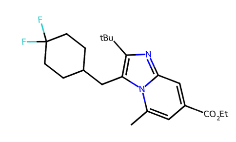 CCOC(=O)c1cc(C)n2c(CC3CCC(F)(F)CC3)c(C(C)(C)C)nc2c1